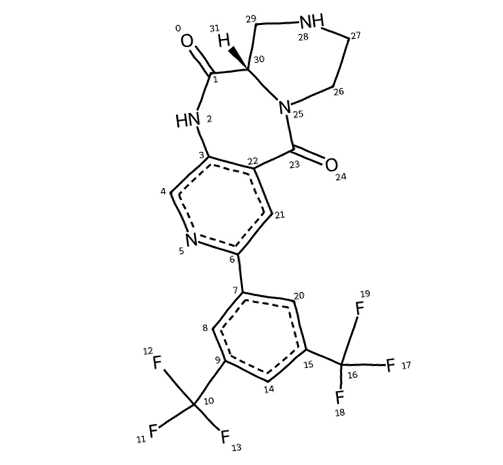 O=C1Nc2cnc(-c3cc(C(F)(F)F)cc(C(F)(F)F)c3)cc2C(=O)N2CCNC[C@@H]12